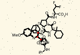 COc1ccc2c(O[C@@H]3CC(C(=O)N[C@@H](CC(F)F)C(=O)O)N(C(=O)[C@@H](NC(=O)NC4(CS(=O)(=O)C(C)(C)C)CCCCC4)C4(C)CCCCC4)C3)cc(-c3csc(NC(C)C)n3)nc2c1